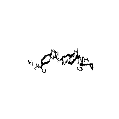 NC(=O)c1ccc2nnc(Sc3ccc4nc(NC(=O)C5CC5)cn4n3)n2c1